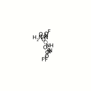 NC(=O)c1c(O[C@H]2CC[C@H](NC(=O)c3cnn4cc(OCC(F)F)ccc34)CC2)nn2cc(F)ccc12